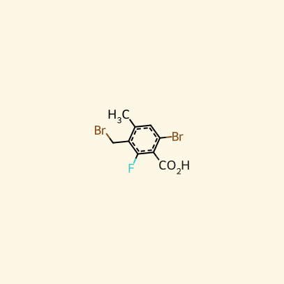 Cc1cc(Br)c(C(=O)O)c(F)c1CBr